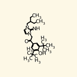 CCC(CC)Cn1ccn(CC(=O)c2cc(C(C)(C)C)c(O)c(C(C)(C)C)c2)c1=N